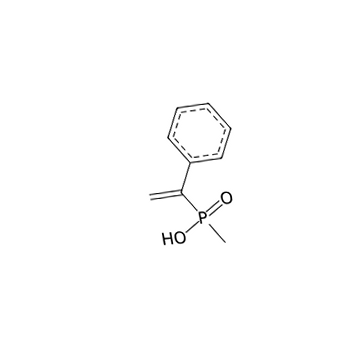 C=C(c1ccccc1)P(C)(=O)O